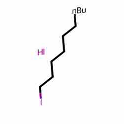 CCCCCCCCCCI.I